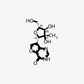 C[C@]1(O)[C@H](O)[C@@H](CO)O[C@H]1c1coc2c(=O)[nH]cnc12